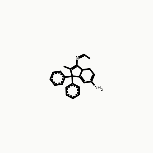 C/C=N\C1=C(C)C(c2ccccc2)(c2ccccc2)C2=CC(N)=CCC21